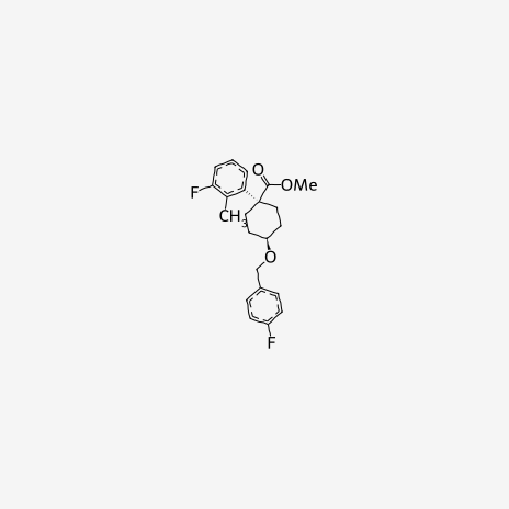 COC(=O)[C@]1(c2cccc(F)c2C)CC[C@H](OCc2ccc(F)cc2)CC1